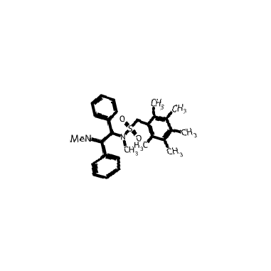 CNC(c1ccccc1)C(c1ccccc1)N(C)S(=O)(=O)Cc1c(C)c(C)c(C)c(C)c1C